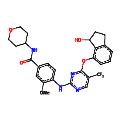 COc1cc(C(=O)NC2CCOCC2)ccc1Nc1ncc(C(F)(F)F)c(Oc2cccc3c2C(O)CC3)n1